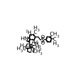 [2H]c1c(C)c(CCS(=O)(=O)c2ccc(C)c(C)c2)c([2H])c2c(C(C)(C)[C@]3(C)N(C)CCC3(C)C)c[nH]c12